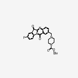 CC(C)(C)OC(=O)N1CCN(Cc2ccc3nc4n(c(=O)c3c2)-c2ccc(F)cc2C4=O)CC1